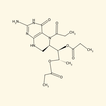 CCC(=O)O[C@@H]([C@H](C)OC(=O)CC)[C@H]1CNc2nc(N)[nH]c(=O)c2N1C(=O)CC